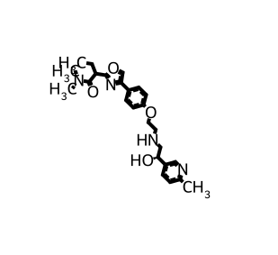 CCC(C(=O)N(C)C)c1nc(-c2ccc(OCCNC[C@H](O)c3ccc(C)nc3)cc2)co1